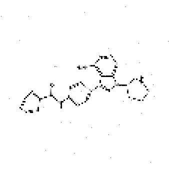 Nc1ncc(I)c2c1c(-c1ccc(NC(=O)c3ccccc3)cc1)nn2C1CCCNC1